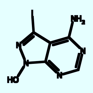 Nc1ncnc2c1c(I)nn2O